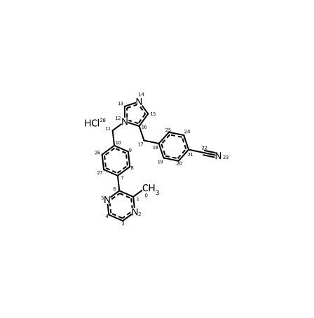 Cc1nccnc1-c1ccc(Cn2cncc2Cc2ccc(C#N)cc2)cc1.Cl